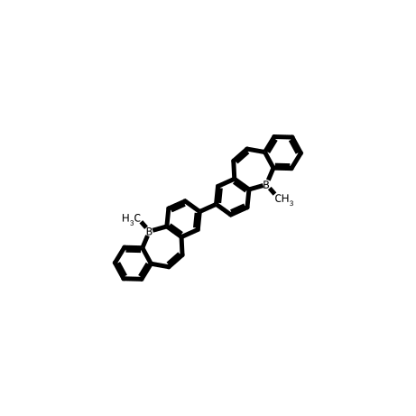 CB1c2ccccc2C=Cc2cc(-c3ccc4c(c3)C=Cc3ccccc3B4C)ccc21